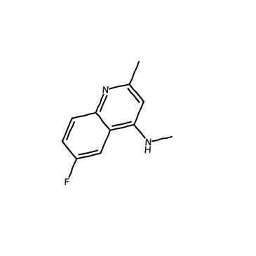 CNc1cc(C)nc2ccc(F)cc12